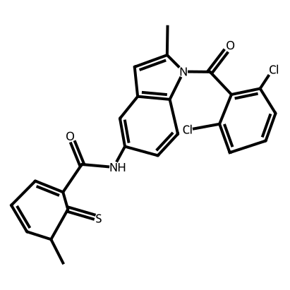 Cc1cc2cc(NC(=O)C3=CC=CC(C)C3=S)ccc2n1C(=O)c1c(Cl)cccc1Cl